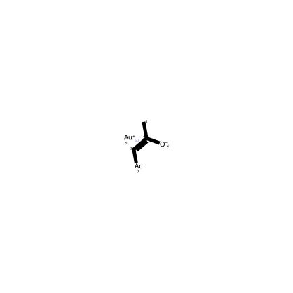 CC(=O)/C=C(/C)[O-].[Au+]